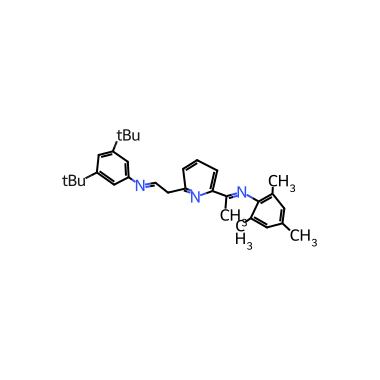 CC(=Nc1c(C)cc(C)cc1C)c1cccc(CC=Nc2cc(C(C)(C)C)cc(C(C)(C)C)c2)n1